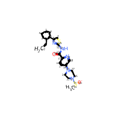 C=Cc1ccccc1-c1csc(NC(=O)c2ccc(N3CCN([S+](C)[O-])CC3)cn2)n1